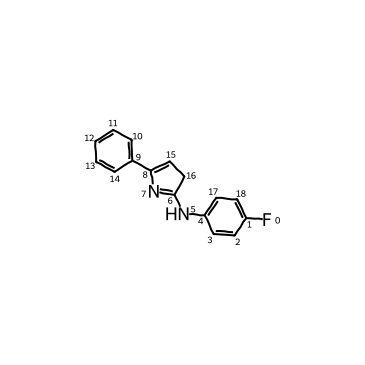 Fc1ccc(NC2=NC(c3ccccc3)=CC2)cc1